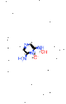 Nc1cncc(NO)[n+]1[O-]